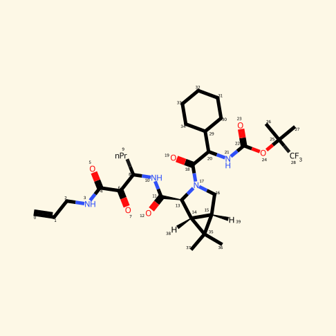 C=CCNC(=O)C(=O)C(CCC)NC(=O)[C@@H]1[C@@H]2[C@H](CN1C(=O)C(NC(=O)OC(C)(C)C(F)(F)F)C1CCCCC1)C2(C)C